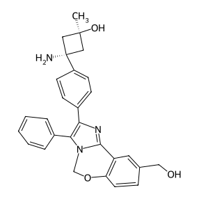 C[C@]1(O)C[C@@](N)(c2ccc(-c3nc4n(c3-c3ccccc3)COc3ccc(CO)cc3-4)cc2)C1